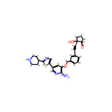 CN1CCC(c2ncc(-c3cnc(N)c(OCc4cccc(C#CC5(O)CCCC5=O)c4)c3)s2)CC1